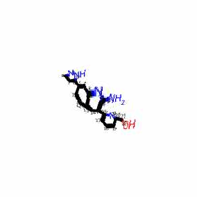 Nc1nc2cc(-c3ccn[nH]3)ccc2cc1-c1cccc(CO)n1